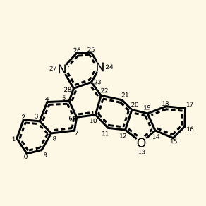 c1ccc2cc3c(cc2c1)c1cc2oc4ccccc4c2cc1c1nccnc31